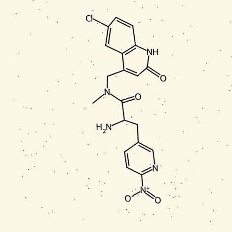 CN(Cc1cc(=O)[nH]c2ccc(Cl)cc12)C(=O)C(N)Cc1ccc([N+](=O)[O-])nc1